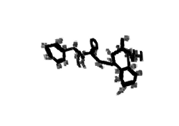 CC1CC(CC(=O)NCc2ccccc2)c2ccccc2N1